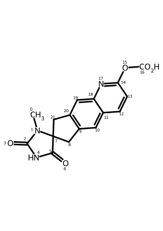 CN1C(=O)NC(=O)C12Cc1cc3ccc(OC(=O)O)nc3cc1C2